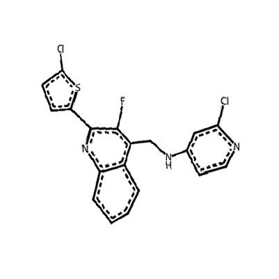 Fc1c(-c2ccc(Cl)s2)nc2ccccc2c1CNc1ccnc(Cl)c1